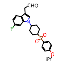 CC(C)Oc1ccc(S(=O)(=O)C2CCC(n3cc(CC=O)c4ccc(F)cc43)CC2)cc1